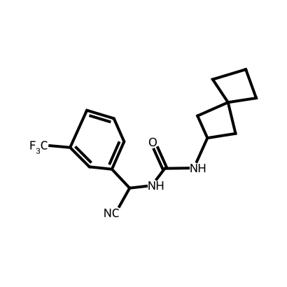 N#CC(NC(=O)NC1CC2(CCC2)C1)c1cccc(C(F)(F)F)c1